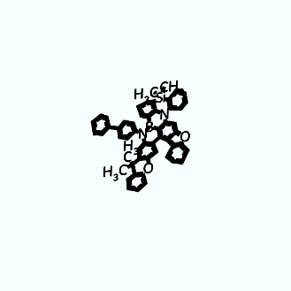 CC1(C)c2ccccc2Oc2cc3c(cc21)N(c1ccc(-c2ccccc2)cc1)B1c2cccc4c2N(c2ccccc2[Si]4(C)C)c2cc4oc5ccccc5c4c-3c21